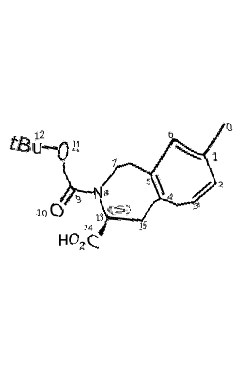 Cc1ccc2c(c1)CN(C(=O)OC(C)(C)C)[C@H](C(=O)O)C2